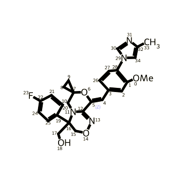 COc1cc(/C=C2\OC3(CC3)CN3C2=NOCC3(CO)c2ccc(F)cc2)ccc1-n1cnc(C)c1